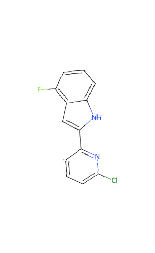 Fc1cccc2[nH]c(-c3[c]ccc(Cl)n3)cc12